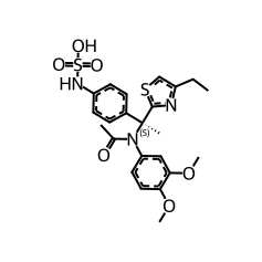 CCc1csc([C@](C)(c2ccc(NS(=O)(=O)O)cc2)N(C(C)=O)c2ccc(OC)c(OC)c2)n1